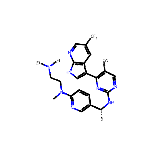 CCN(CC)CCN(C)c1ccc([C@@H](C)Nc2ncc(C#N)c(-c3c[nH]c4ncc(C(F)(F)F)cc34)n2)cn1